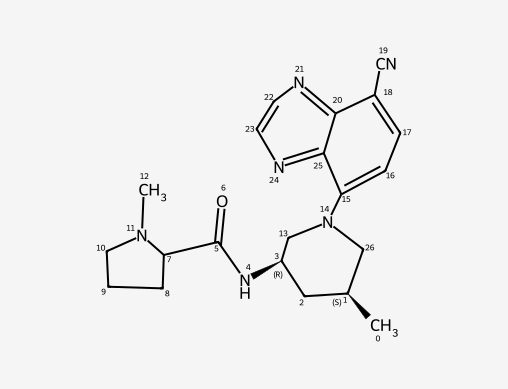 C[C@H]1C[C@@H](NC(=O)C2CCCN2C)CN(c2ccc(C#N)c3nccnc23)C1